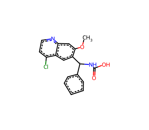 COc1cc2nccc(Cl)c2cc1[C](NC(=O)O)c1ccccc1